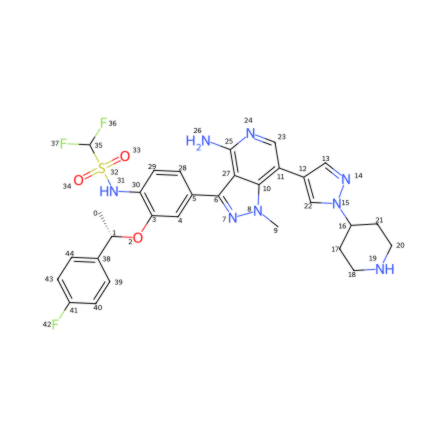 C[C@H](Oc1cc(-c2nn(C)c3c(-c4cnn(C5CCNCC5)c4)cnc(N)c23)ccc1NS(=O)(=O)C(F)F)c1ccc(F)cc1